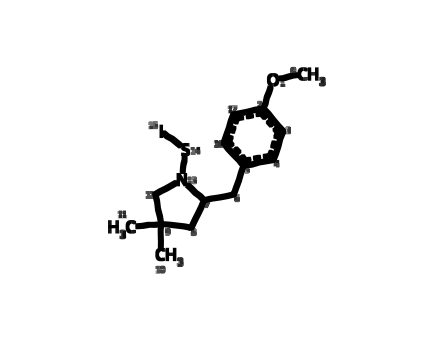 COc1ccc(CC2CC(C)(C)CN2SI)cc1